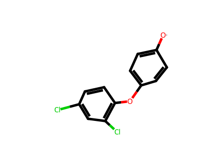 [O]c1ccc(Oc2ccc(Cl)cc2Cl)cc1